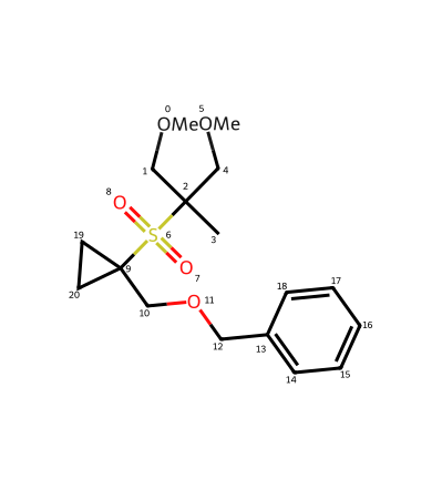 COCC(C)(COC)S(=O)(=O)C1(COCc2ccccc2)CC1